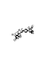 [C-]#[N+]NC(=O)N(Cc1ccsc1)C1CCN([C@H](C)CCNC(=O)c2c(C)cc(Cl)nc2Cl)CC1